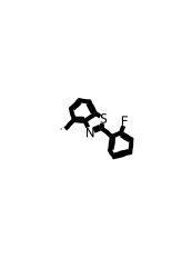 [CH2]c1cccc2sc(-c3ccccc3F)nc12